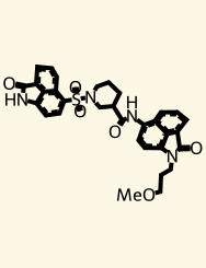 COCCCN1C(=O)c2cccc3c(NC(=O)C4CCCN(S(=O)(=O)c5ccc6c7c(cccc57)C(=O)N6)C4)ccc1c23